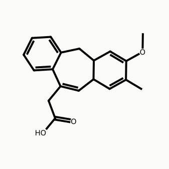 COC1=CC2Cc3ccccc3C(CC(=O)O)=CC2C=C1C